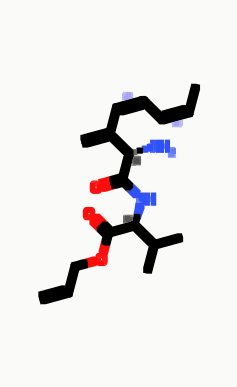 C=CCOC(=O)[C@@H](NC(=O)[C@@H](N)C(=C)/C=C\C=C/C)C(C)C